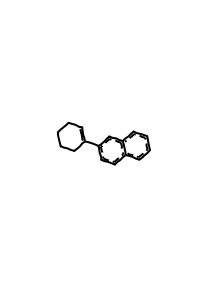 C1=C(c2ccc3ccccc3c2)CCCC1